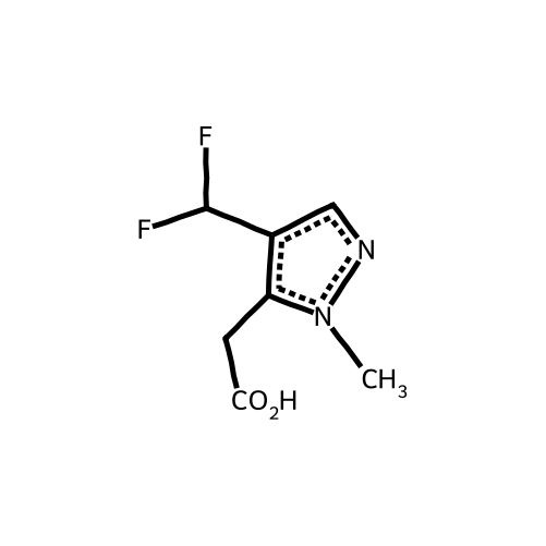 Cn1ncc(C(F)F)c1CC(=O)O